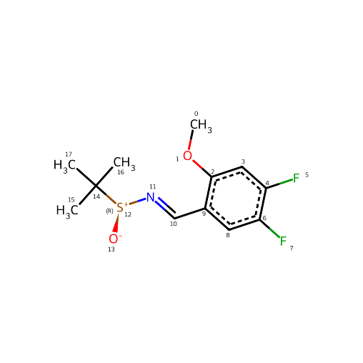 COc1cc(F)c(F)cc1C=N[S@@+]([O-])C(C)(C)C